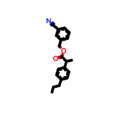 CCCc1ccc(C(C)C(=O)OCc2cccc(C#N)c2)cc1